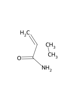 C=CC(N)=O.CC